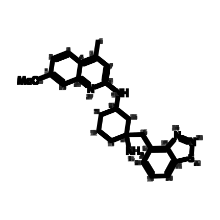 COc1ccc2c(C)cc(NC3CCCC(N)(Cc4cccc5snnc45)C3)nc2c1